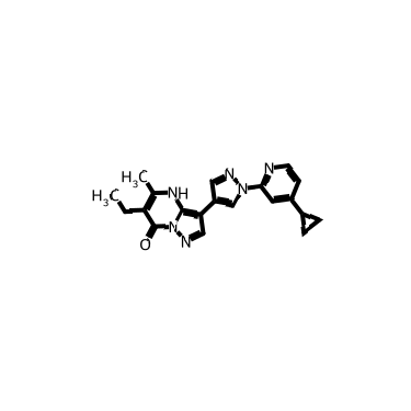 CCc1c(C)[nH]c2c(-c3cnn(-c4cc(C5CC5)ccn4)c3)cnn2c1=O